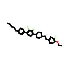 CCCCCc1ccc(-c2ccc(C3CCC(CCc4ccc(OCC)c(F)c4)CC3)c(F)c2F)cc1